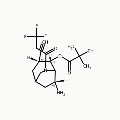 C#C[C@H]1CC2C[C@@H](N)C([C@H]1OC(=O)C(C)(C)C)N(C(=O)CC(F)(F)F)C2